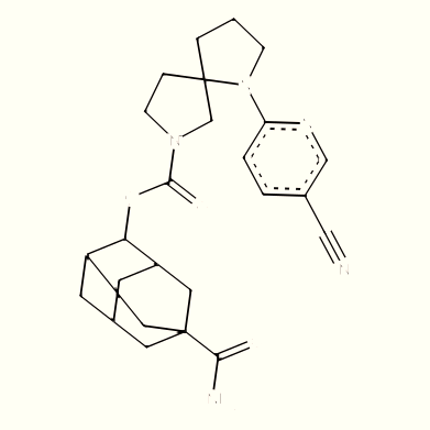 N#Cc1ccc(N2CCCC23CCN(C(=O)OC2C4CC5CC2CC(C(N)=O)(C5)C4)C3)nc1